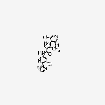 O=C(Nc1cnc(-n2nccn2)c(Cl)c1)c1cnn(-c2c(Cl)cncc2Cl)c1C(F)(F)F